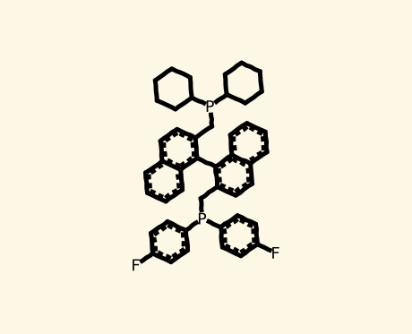 Fc1ccc(P(Cc2ccc3ccccc3c2-c2c(CP(C3CCCCC3)C3CCCCC3)ccc3ccccc23)c2ccc(F)cc2)cc1